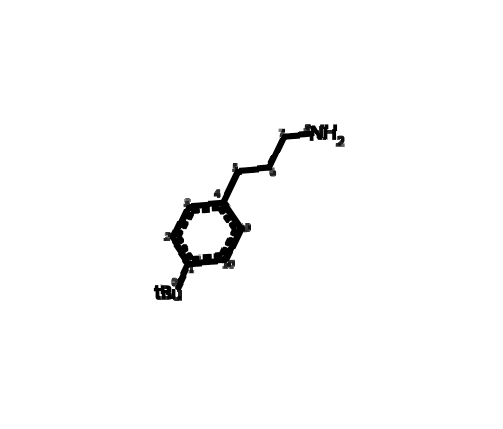 CC(C)(C)c1ccc(CCCN)cc1